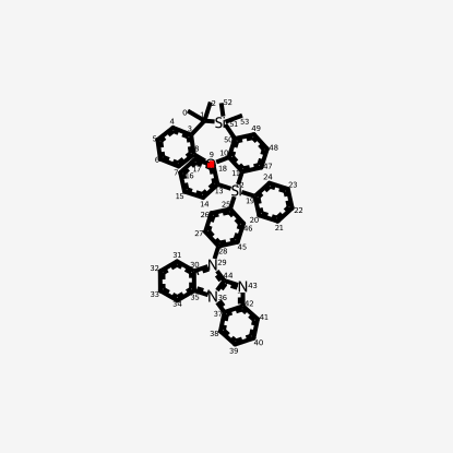 CC1(C)c2ccccc2Oc2c([Si](c3ccccc3)(c3ccccc3)c3ccc(-n4c5ccccc5n5c6ccccc6nc45)cc3)cccc2[Si]1(C)C